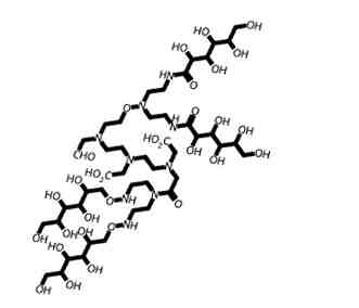 O=CCN(CCON(CCNC(=O)C(O)C(O)C(O)C(O)CO)CCNC(=O)C(O)C(O)C(O)C(O)CO)CCN(CCN(CC(=O)O)CC(=O)N(CCNOCC(O)C(O)C(O)C(O)CO)CCNOCC(O)C(O)C(O)C(O)CO)CC(=O)O